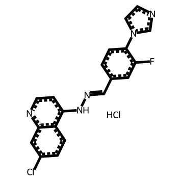 Cl.Fc1cc(C=NNc2ccnc3cc(Cl)ccc23)ccc1-n1ccnc1